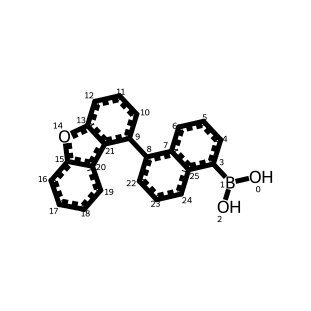 OB(O)c1cccc2c(-c3cccc4oc5ccccc5c34)cccc12